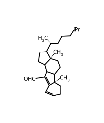 CC(C)CCC[C@@H](C)[C@H]1CCC2C3C(C=O)=C4C=CCC[C@]4(C)C3CC[C@@]21C